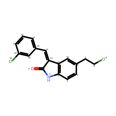 O=C1Nc2ccc(CCCl)cc2C1=Cc1cccc(Cl)c1